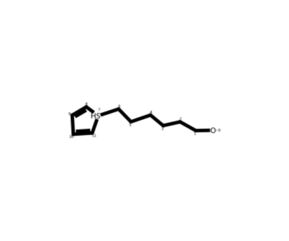 [O]CCCCCC[SH]1C=CC=C1